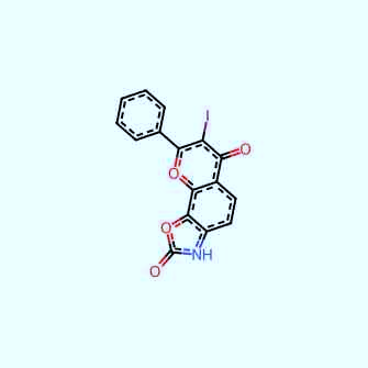 O=c1[nH]c2ccc3c(=O)c(I)c(-c4ccccc4)oc3c2o1